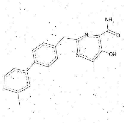 Cc1cccc(-c2ccc(Cc3nc(C)c(O)c(C(N)=O)n3)cc2)c1